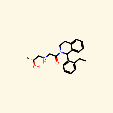 CCc1ccccc1C1c2ccccc2CCN1C(=O)CNC[C@@H](C)O